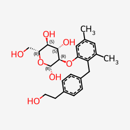 Cc1cc(C)c(Cc2ccc(CCO)cc2)c(O[C@@H]2[C@@H](O)[C@H](O)[C@@H](CO)O[C@H]2O)c1